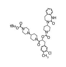 Cc1ccc(CC(OC(=O)N2CCC(N3CCc4ccccc4NC3=O)CC2)C(=O)N2CCC(N3CCN(C(=O)OC(C)(C)C)CC3)CC2)cc1Cl